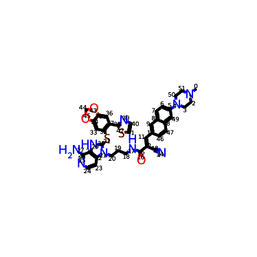 CN1CCN(c2ccc3cc(/C=C(\C#N)C(=O)NCCCN4c5ccnc(N)c5NC4Sc4cc5c(cc4-c4nccs4)OCO5)ccc3c2)CC1